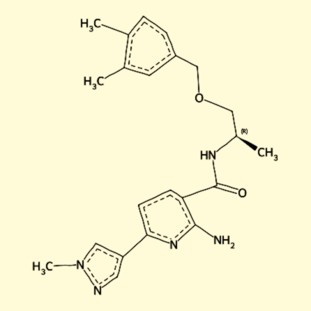 Cc1ccc(COC[C@@H](C)NC(=O)c2ccc(-c3cnn(C)c3)nc2N)cc1C